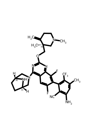 C=C1CCN(C)C[C@@]1(C)COc1nc(N2C[C@H]3CC[C@@H](C2)N3)c2cc(F)c(-c3c(C#N)c(N)cc(C)c3C(F)(F)F)c(F)c2n1